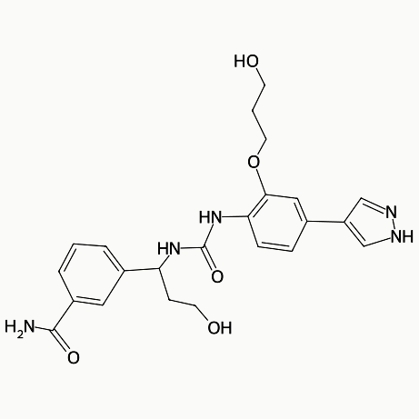 NC(=O)c1cccc(C(CCO)NC(=O)Nc2ccc(-c3cn[nH]c3)cc2OCCCO)c1